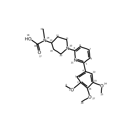 COc1cc(-c2cccc(N3CCC(N(C)C(=O)O)CC3)n2)cc(OC)c1OC